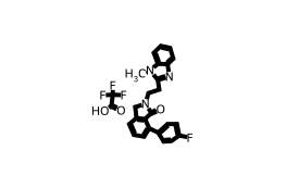 Cn1c(CCN2Cc3cccc(-c4ccc(F)cc4)c3C2=O)nc2ccccc21.O=C(O)C(F)(F)F